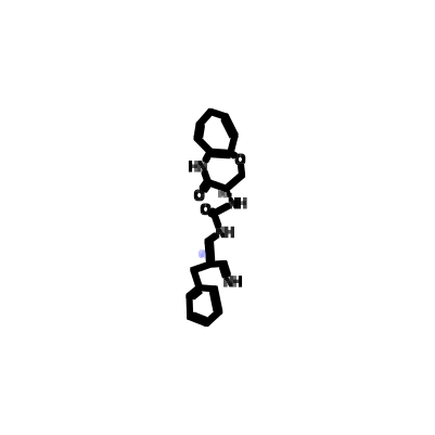 N=C/C(=C\NC(=O)N[C@H]1COC2=C(C=CCC=C2)NC1=O)Cc1ccccc1